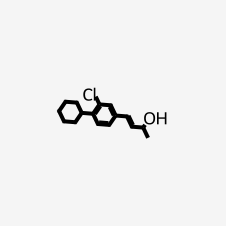 CC(O)C=Cc1ccc(C2CCCCC2)c(Cl)c1